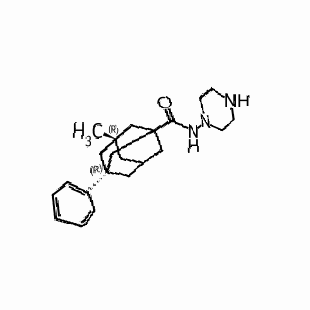 C[C@]12CC3CC(C(=O)NN4CCNCC4)(C1)C[C@@](c1ccccc1)(C3)C2